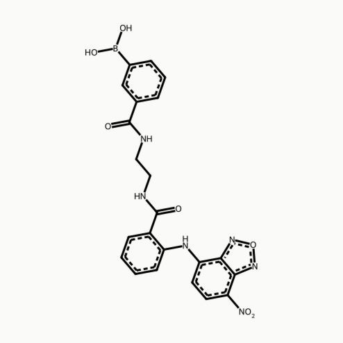 O=C(NCCNC(=O)c1ccccc1Nc1ccc([N+](=O)[O-])c2nonc12)c1cccc(B(O)O)c1